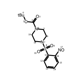 CC(C)(C)OC(=O)N1CCN(S(=O)(=O)c2ccccc2N=O)CC1